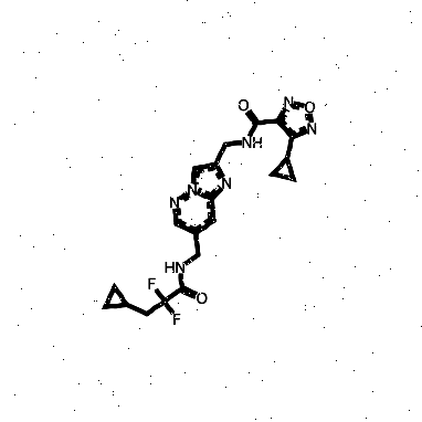 O=C(NCc1cn2ncc(CNC(=O)C(F)(F)CC3CC3)cc2n1)c1nonc1C1CC1